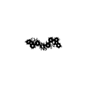 CC1(C)c2ccccc2-c2cccc(-c3cccc(-c4ccc5sc6ncc(-c7cccc(-c8cccc9c8C(C)(C)c8ccccc8-9)c7)nc6c5c4)c3)c21